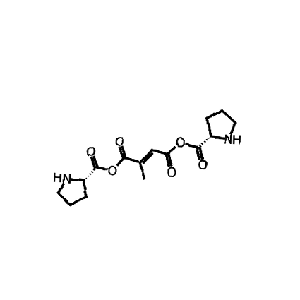 C/C(=C\C(=O)OC(=O)[C@@H]1CCCN1)C(=O)OC(=O)[C@@H]1CCCN1